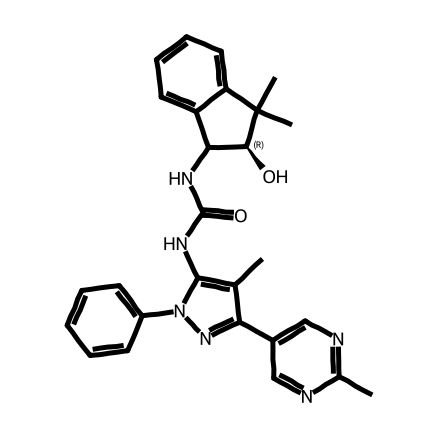 Cc1ncc(-c2nn(-c3ccccc3)c(NC(=O)NC3c4ccccc4C(C)(C)[C@H]3O)c2C)cn1